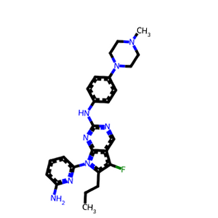 CCCc1c(F)c2cnc(Nc3ccc(N4CCN(C)CC4)cc3)nc2n1-c1cccc(N)n1